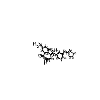 Nc1cc2c3c(c(-c4cccc(CN5CCCC5)c4)[nH]c3c1)C=NNC2=O